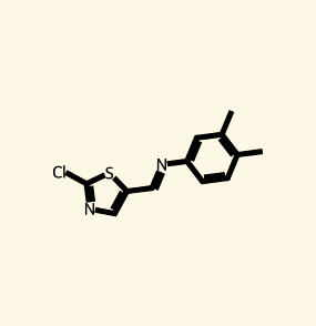 Cc1ccc(/N=C/c2cnc(Cl)s2)cc1C